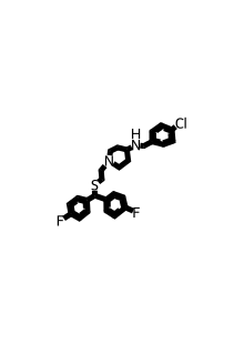 Fc1ccc(C(SCCN2CCC(NCc3ccc(Cl)cc3)CC2)c2ccc(F)cc2)cc1